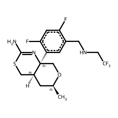 C[C@H]1C[C@H]2CSC(N)=N[C@@]2(c2cc(CNCC(F)(F)F)c(F)cc2F)CO1